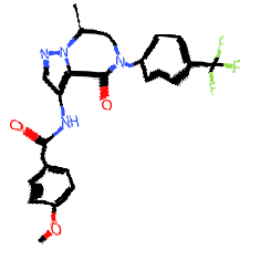 COc1ccc(C(=O)Nc2cnn3c2C(=O)N(c2ccc(C(F)(F)F)cc2)C[C@@H]3C)cc1